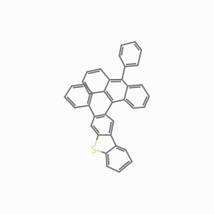 c1ccc(-c2cc3sc4ccccc4c3cc2-c2c3ccccc3c(-c3ccccc3)c3ccccc23)cc1